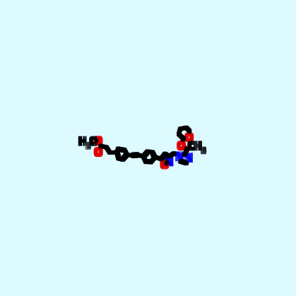 COC(=O)CCc1ccc(C#Cc2ccc(-c3cc(Cn4ccnc4[C@H](C)OC4CCCCO4)no3)cc2)cc1